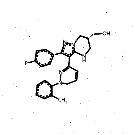 Cc1ccccc1N1CC=CC(c2c(-c3ccc(F)cc3)nn3c2NC[C@@H](CO)C3)=N1